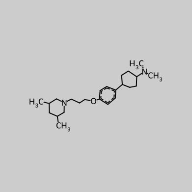 CC1CC(C)CN(CCCOc2ccc(C3CCC(N(C)C)CC3)cc2)C1